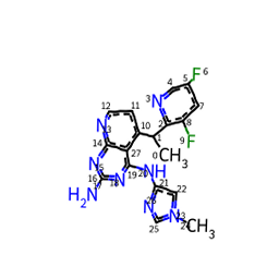 CC(c1ncc(F)cc1F)c1ccnc2nc(N)nc(Nc3cn(C)cn3)c12